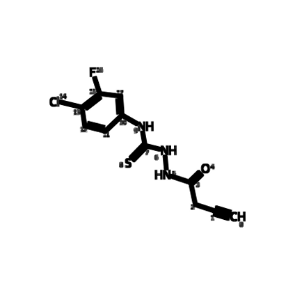 C#CCC(=O)NNC(=S)Nc1ccc(Cl)c(F)c1